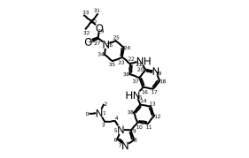 CN(C)CCn1cncc1-c1cccc(Nc2ccnc3[nH]c(C4=CCN(C(=O)OC(C)(C)C)CC4)cc23)c1